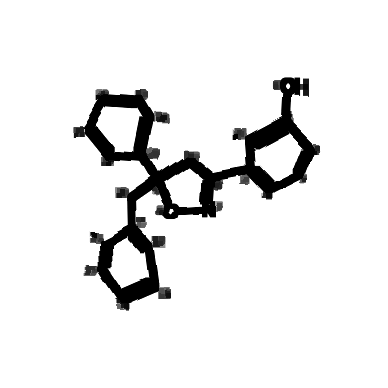 Oc1cccc(C2=NOC(Cc3ccccc3)(c3ccccc3)C2)c1